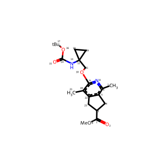 COC(=O)C1Cc2c(C)nc(OCC3(NC(=O)OC(C)(C)C)CC3)c(C)c2C1